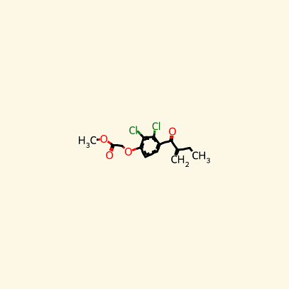 C=C(CC)C(=O)c1ccc(OCC(=O)OC)c(Cl)c1Cl